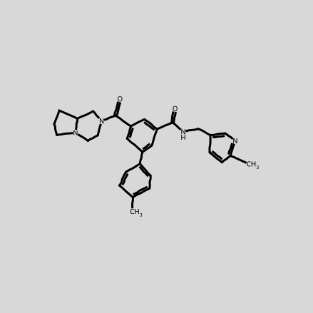 Cc1ccc(-c2cc(C(=O)NCc3ccc(C)nc3)cc(C(=O)N3CCN4CCCC4C3)c2)cc1